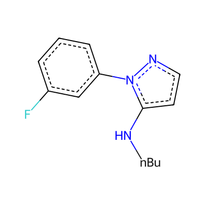 CCCCNc1ccnn1-c1cccc(F)c1